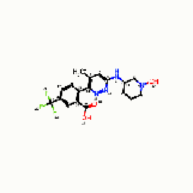 Cc1cc(N[C@@H]2CCCN(O)C2)nnc1-c1ccc(C(F)(F)F)cc1C(=O)O